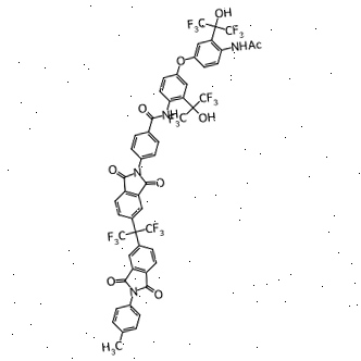 CC(=O)Nc1ccc(Oc2ccc(NC(=O)c3ccc(N4C(=O)c5ccc(C(c6ccc7c(c6)C(=O)N(c6ccc(C)cc6)C7=O)(C(F)(F)F)C(F)(F)F)cc5C4=O)cc3)c(C(O)(C(F)(F)F)C(F)(F)F)c2)cc1C(O)(C(F)(F)F)C(F)(F)F